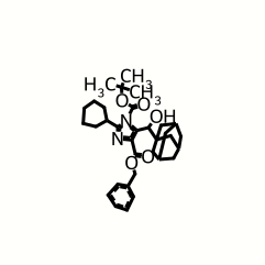 CC(C)(C)OC(=O)n1c(C2CCCCC2)nc(C(=O)OCc2ccccc2)c1C(O)C12CC3CC(CC(C3)C1)C2